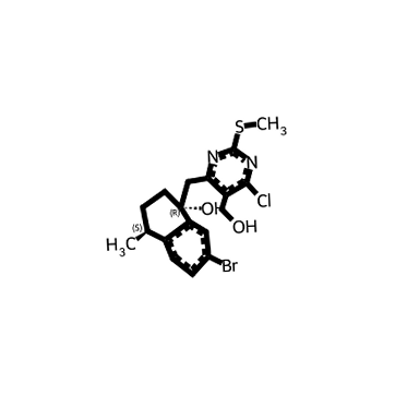 CSc1nc(Cl)c(CO)c(C[C@]2(O)CC[C@H](C)c3ccc(Br)cc32)n1